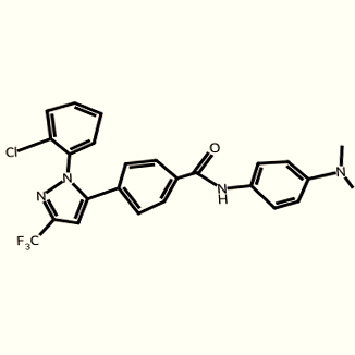 CN(C)c1ccc(NC(=O)c2ccc(-c3cc(C(F)(F)F)nn3-c3ccccc3Cl)cc2)cc1